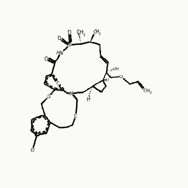 C=CCOC[C@]1(O)/C=C/C[C@H](C)[C@@H](C)S(=O)(=O)NC(=O)c2ccc3c(c2)N(CCCCc2cc(Cl)ccc2CO3)C[C@@H]2CC[C@H]21